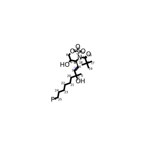 CC(O)(/C=C/[C@H]1C(O)COS(=O)(=O)N1C(=O)C(C)(C)C)CCCCCCF